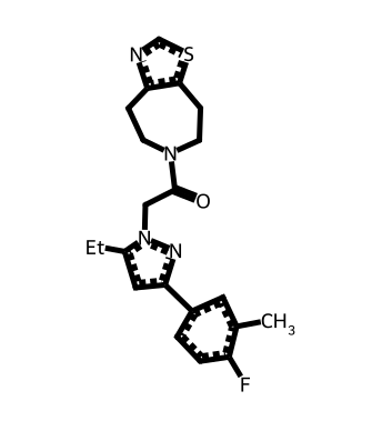 CCc1cc(-c2ccc(F)c(C)c2)nn1CC(=O)N1CCc2ncsc2CC1